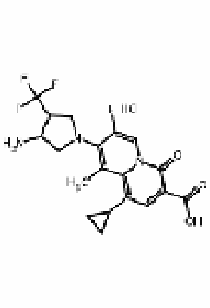 Cc1c(N2CC(N)C(C(F)(F)F)C2)c(F)cn2c(=O)c(C(=O)O)cc(C3CC3)c12.Cl